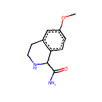 COc1ccc2c(c1)CCNC2C(N)=O